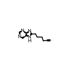 [C]#CCCCCc1nc2ncncc2[nH]1